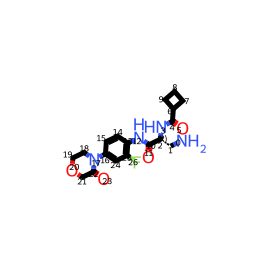 NC[C@@H](NC(=O)C1CCC1)C(=O)Nc1ccc(N2CCOCC2=O)cc1F